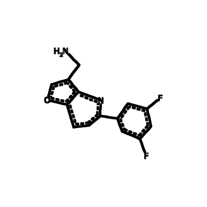 NCc1coc2ccc(-c3cc(F)cc(F)c3)nc12